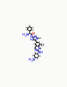 CCc1cc(-c2cc(NC(=O)[C@@H](N)c3ccccc3)nn2C)cc2cnc(NC3CCC(N)CC3)nc12